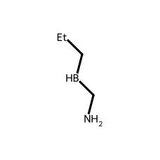 CCCBCN